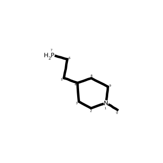 CN1CCC(CCP)CC1